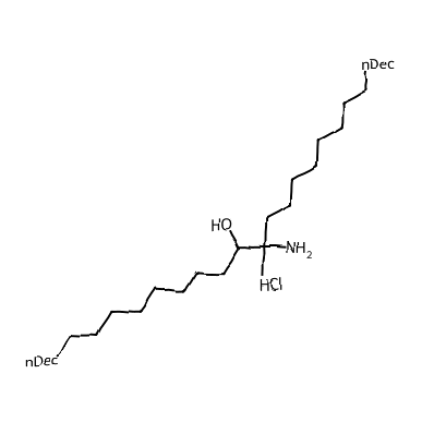 CCCCCCCCCCCCCCCCCCC(O)C(C)(N)CCCCCCCCCCCCCCCCCC.Cl